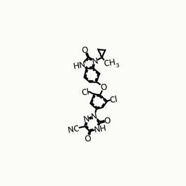 CC1(n2c(=O)[nH]c3ccc(Oc4c(Cl)cc(-n5nc(C#N)c(=O)[nH]c5=O)cc4Cl)cc32)CC1